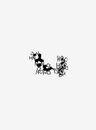 O=c1ncc2cn([C@@H]3O[C@H](COP(=O)(O)OP(=O)(O)OP(=O)(O)O)[C@H](O)C3O)c(=O)nc2[nH]1